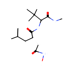 CNC(=O)C(NC(=O)[C@H](CC(=O)NO)CC(C)C)C(C)(C)C